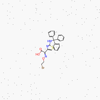 O=C(O)/C(=N\OCCBr)c1csc(NC(c2ccccc2)(c2ccccc2)c2ccccc2)n1